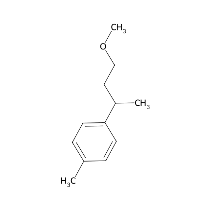 COCCC(C)c1ccc(C)cc1